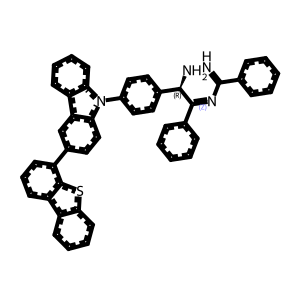 N=C(/N=C(/c1ccccc1)[C@H](N)c1ccc(-n2c3ccccc3c3cc(-c4cccc5c4sc4ccccc45)ccc32)cc1)c1ccccc1